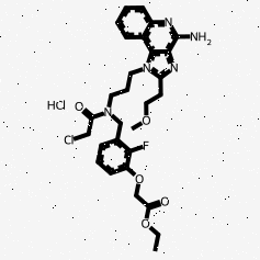 CCOC(=O)COc1cccc(CN(CCCn2c(CCOC)nc3c(N)nc4ccccc4c32)C(=O)CCl)c1F.Cl